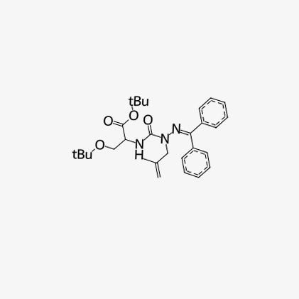 C=C(C)CN(N=C(c1ccccc1)c1ccccc1)C(=O)NC(COC(C)(C)C)C(=O)OC(C)(C)C